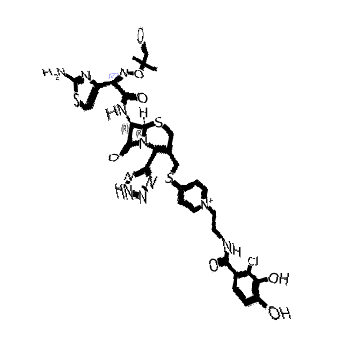 CC(C)(C=O)O/N=C(\C(=O)N[C@@H]1C(=O)N2C(c3nn[nH]n3)=C(CSc3cc[n+](CCNC(=O)c4ccc(O)c(O)c4Cl)cc3)CS[C@H]12)c1csc(N)n1